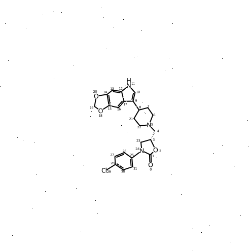 O=C1O[C@@H](CN2CCC(c3c[nH]c4cc5c(cc34)OCO5)CC2)CN1c1ccc(Cl)cc1